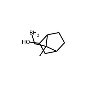 BCC1(C)C2CCC1C(O)C2